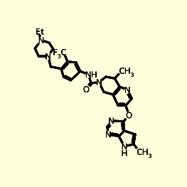 CCN1CCN(Cc2ccc(NC(=O)N3Cc4cc(Oc5ncnc6[nH]c(C)cc56)cnc4C(C)C3)cc2C(F)(F)F)CC1